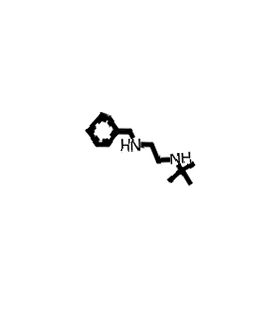 CC(C)(C)NCCNCc1ccccc1